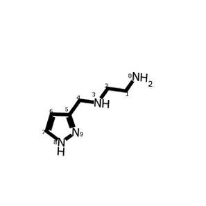 NCCNCc1cc[nH]n1